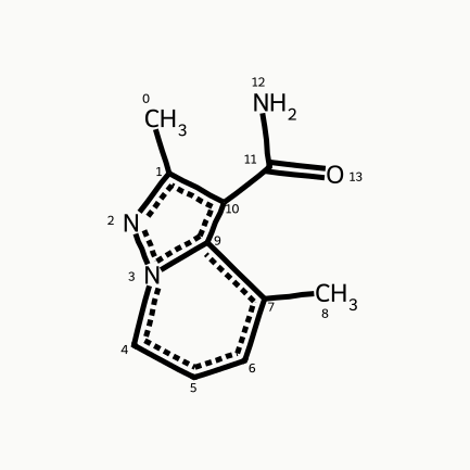 Cc1nn2cccc(C)c2c1C(N)=O